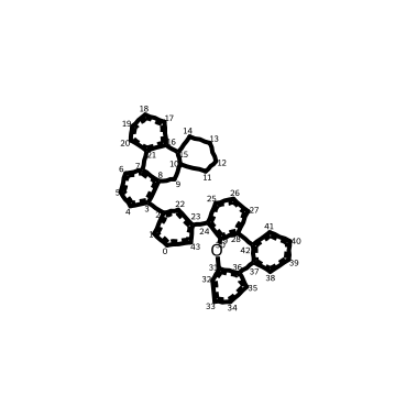 c1cc(-c2cccc3c2CC2CCCCC2c2ccccc2-3)cc(-c2cccc3c2Oc2ccccc2-c2ccccc2-3)c1